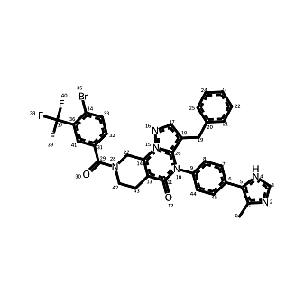 Cc1nc[nH]c1-c1ccc(-n2c(=O)c3c(n4ncc(Cc5ccccc5)c24)CN(C(=O)c2ccc(Br)c(C(F)(F)F)c2)CC3)cc1